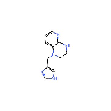 c1cnc2c(c1)N(Cc1c[nH]cn1)CCN2